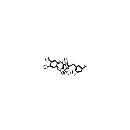 CS(=O)(=O)c1nc2cc(Cl)c(Cl)cc2nc1NCCc1cccc(F)c1